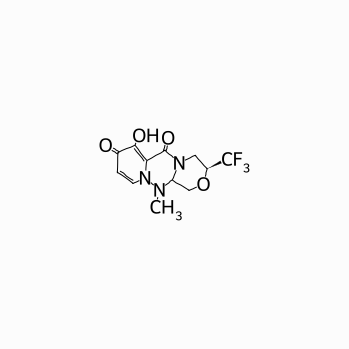 CN1C2CO[C@H](C(F)(F)F)CN2C(=O)c2c(O)c(=O)ccn21